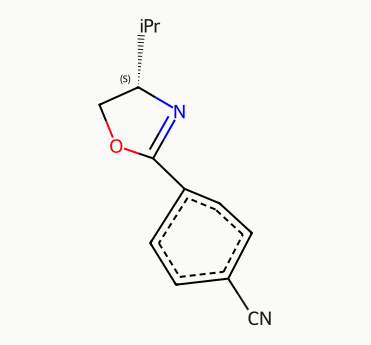 CC(C)[C@H]1COC(c2ccc(C#N)cc2)=N1